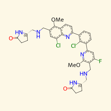 COc1nc(-c2cccc(-c3ccc4c(OC)c(CNC[C@@H]5CCC(=O)N5)cc(Cl)c4n3)c2Cl)cc(F)c1CNC[C@@H]1CCC(=O)N1